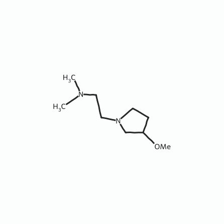 COC1CCN(CCN(C)C)C1